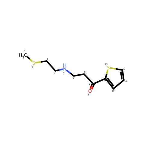 CSCCNCCC(=O)c1cccs1